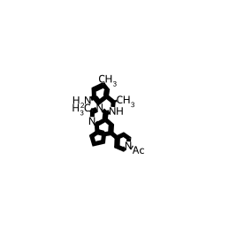 CC(=O)N1CC=C(c2cc3c(N[C@H](C)c4cc(C)cc(N)c4)nc(C)nc3c3c2CCC3)CC1